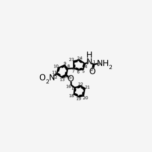 NC(=O)Nc1ccc(-c2ccc([N+](=O)[O-])cc2OCc2ccccc2)cc1